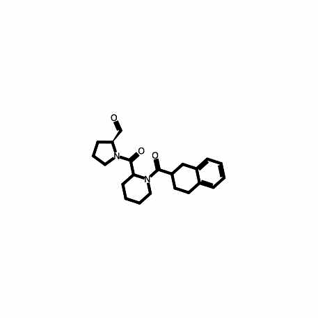 O=C[C@@H]1CCCN1C(=O)C1CCCCN1C(=O)C1CCc2ccccc2C1